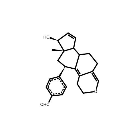 C[C@]12C[C@H](c3ccc(C=O)cc3)C3=C4CCOC=C4CCC3C1C=C[C@@H]2O